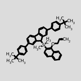 C=CCOc1c([Si](C)(C)C2c3cc(-c4ccc(C(C)(C)C)cc4)ccc3-c3ccc(-c4ccc(C(C)(C)C)cc4)cc32)ccc2ccccc12